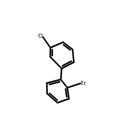 CCc1ccccc1-c1cccc(Cl)c1